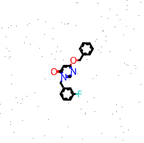 O=c1cc(OCc2ccccc2)ncn1Cc1cccc(F)c1